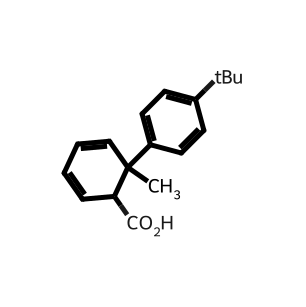 CC(C)(C)c1ccc(C2(C)C=CC=CC2C(=O)O)cc1